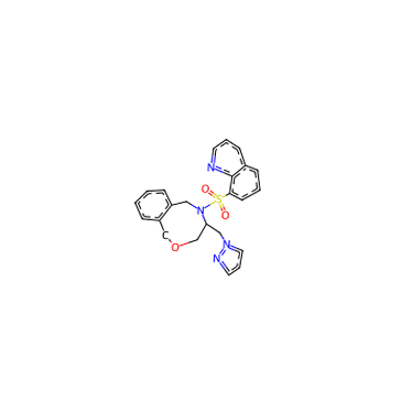 O=S(=O)(c1cccc2cccnc12)N1Cc2ccccc2COCC1Cn1cccn1